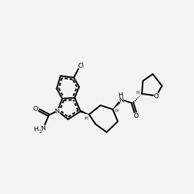 NC(=O)n1cc([C@@H]2CCC[C@H](NC(=O)[C@@H]3CCCO3)C2)c2cc(Cl)ccc21